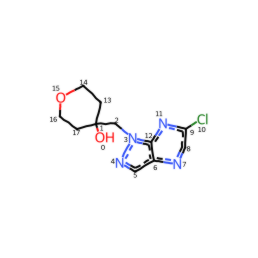 OC1(Cn2ncc3ncc(Cl)nc32)CCOCC1